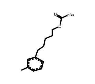 CCCCC(=O)OCCCCCc1cccc(C)c1